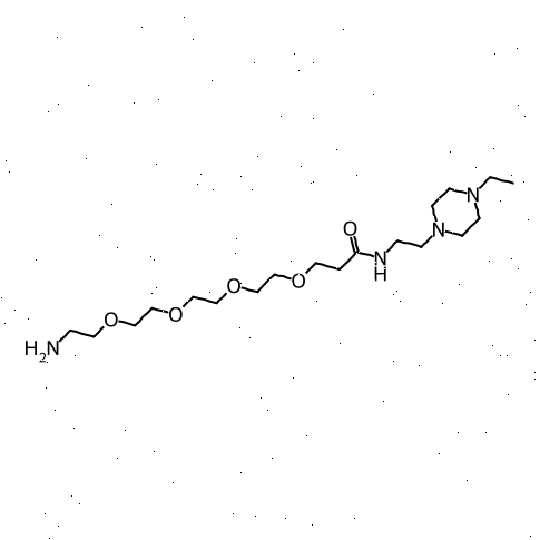 CCN1CCN(CCNC(=O)CCOCCOCCOCCOCCN)CC1